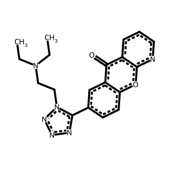 CCN(CC)CCn1nnnc1-c1ccc2oc3ncccc3c(=O)c2c1